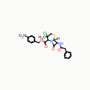 CC1(Cl)CS[C@@H]2C(NC(=O)Cc3ccccc3)C(=O)N2C1C(=O)OCc1ccc([N+](=O)[O-])cc1